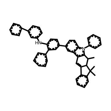 CC1c2c(c3cc(-c4ccc(Nc5cccc(-c6ccccc6)c5)c(-c5ccccc5)c4)ccc3n2-c2ccccc2)C=C2c3ccccc3C(C)(C)C21